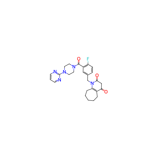 O=C1CC(=O)N(Cc2ccc(F)c(C(=O)N3CCN(c4ncccn4)CC3)c2)C2=C1CCCCC2